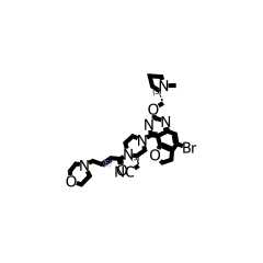 CN1CCC[C@H]1COc1nc(N2CCN(C(=O)/C=C/CN3CCOCC3)[C@@H](CC#N)C2)c2c3c(c(Br)cc2n1)CCO3